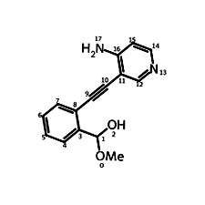 COC(O)c1ccccc1C#Cc1cnccc1N